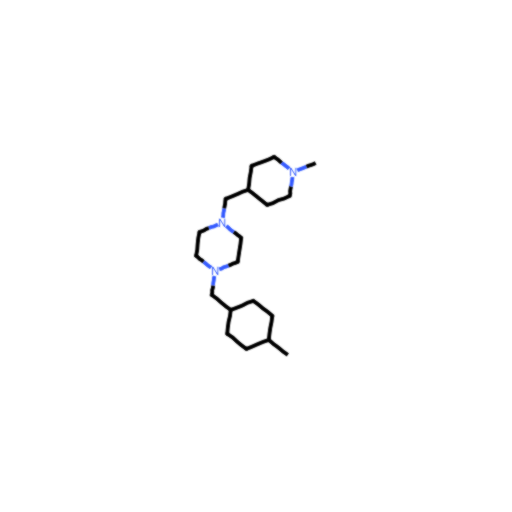 CC1CCC(CN2CCN(CC3CCN(C)CC3)CC2)CC1